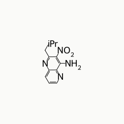 CC(C)Cc1nc2cccnc2c(N)c1[N+](=O)[O-]